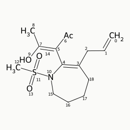 C=CCC1=C(C(C(C)=O)=C(C)O)N(S(C)(=O)=O)CCCC1